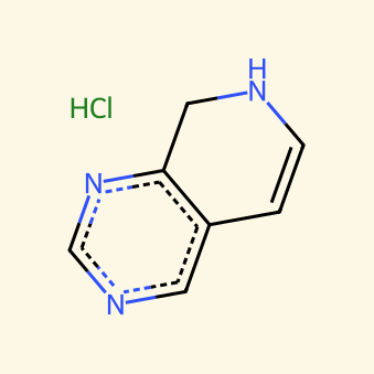 C1=Cc2cncnc2CN1.Cl